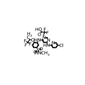 CNS(=O)(=O)c1ccc(OC(C)C(F)(F)F)c(Nc2cc(Nc3ccc(Cl)cn3)ncn2)c1.O=C(O)C(F)(F)F